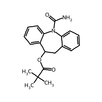 CC(C)(C)C(=O)OC1Cc2ccccc2N(C(N)=O)c2ccccc21